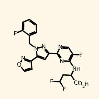 O=C(O)C(CC(F)F)Nc1nc(-c2cc(-c3ccon3)n(Cc3ccccc3F)n2)ncc1F